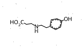 O=C(O)CCNCCc1ccc(O)cc1